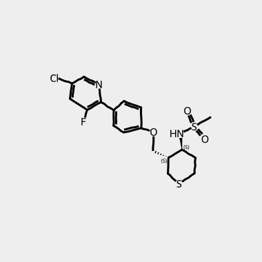 CS(=O)(=O)N[C@H]1CCSC[C@@H]1COc1ccc(-c2ncc(Cl)cc2F)cc1